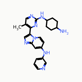 Cc1cnc(NC2CCC(N)CC2)nc1-c1cnc2cc(Nc3cccnc3)ccn12